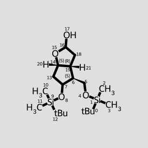 CC(C)(C)[Si](C)(C)OC[C@H]1C(O[Si](C)(C)C(C)(C)C)C[C@@H]2OC(O)C[C@@H]21